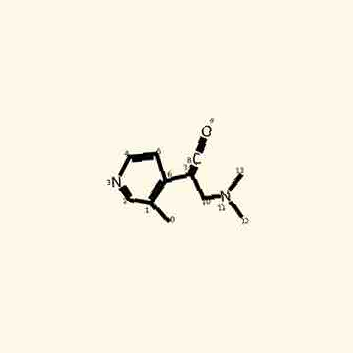 Cc1cnccc1C(=C=O)CN(C)C